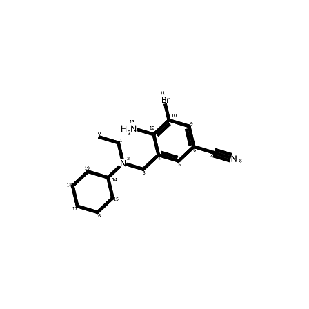 CCN(Cc1cc(C#N)cc(Br)c1N)C1CCCCC1